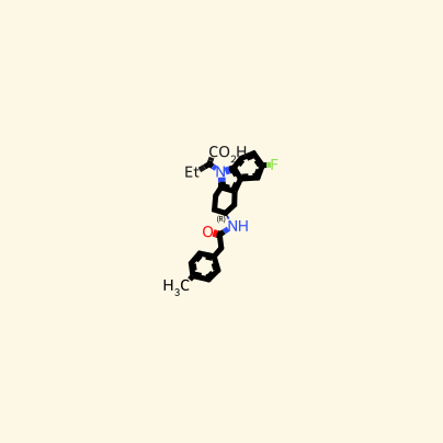 CCC(C(=O)O)n1c2c(c3cc(F)ccc31)C[C@H](NC(=O)Cc1ccc(C)cc1)CC2